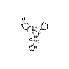 Cn1cnc(S(=O)(=O)N2C[C@H](Nc3cc(Cl)ncn3)[C@@H](c3ccccc3)C2)c1